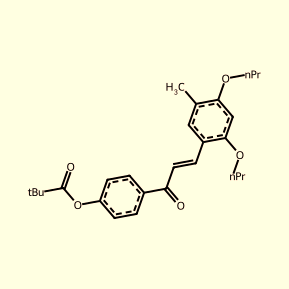 CCCOc1cc(OCCC)c(C=CC(=O)c2ccc(OC(=O)C(C)(C)C)cc2)cc1C